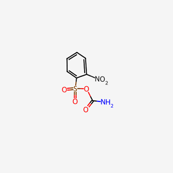 NC(=O)OS(=O)(=O)c1ccccc1[N+](=O)[O-]